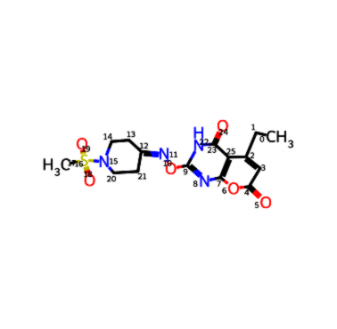 CCc1cc(=O)oc2nc(ON=C3CCN(S(C)(=O)=O)CC3)[nH]c(=O)c12